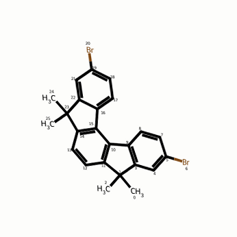 CC1(C)c2cc(Br)ccc2-c2c1ccc1c2-c2ccc(Br)cc2C1(C)C